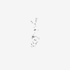 NS(=O)(=O)c1cc2c(cc1Cl)NCN(CCOC(=O)CCC(CO[N+](=O)[O-])O[N+](=O)[O-])S2(=O)=O